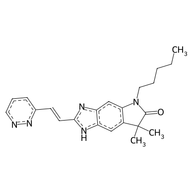 CCCCCN1C(=O)C(C)(C)c2cc3[nH]c(C=Cc4cccnn4)nc3cc21